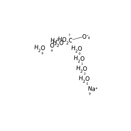 O.O.O.O.O.O.O.O=C([O-])O.[Na+]